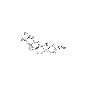 COc1ccc2c(c1)=NC1C(/C=C3/C=C(C(C)C)C(=O)C=C3C)=NCCC=21